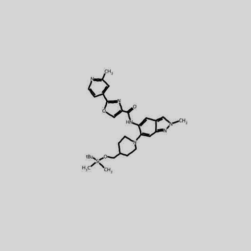 Cc1cc(-c2nc(C(=O)Nc3cc4cn(C)nc4cc3N3CCC(CO[Si](C)(C)C(C)(C)C)CC3)co2)ccn1